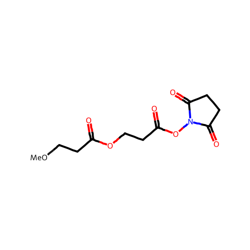 COCCC(=O)OCCC(=O)ON1C(=O)CCC1=O